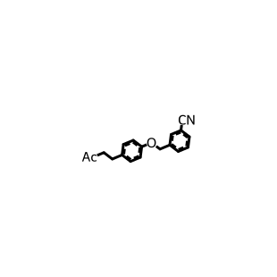 CC(=O)CCc1ccc(OCc2cccc(C#N)c2)cc1